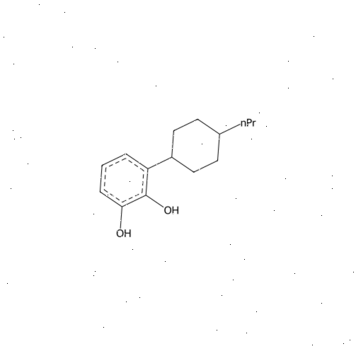 CCCC1CCC(c2cccc(O)c2O)CC1